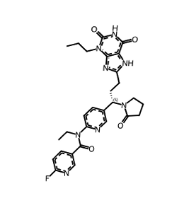 CCCn1c(=O)[nH]c(=O)c2[nH]c(CC[C@@H](c3ccc(N(CC)C(=O)c4ccc(F)nc4)nc3)N3CCCC3=O)nc21